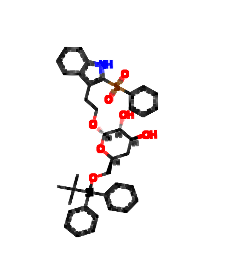 CC(C)(C)[Si](OC[C@@H]1C[C@H](O)[C@@H](O)[C@@H](OCCc2c(S(=O)(=O)c3ccccc3)[nH]c3ccccc23)O1)(c1ccccc1)c1ccccc1